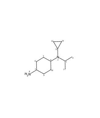 CC(C)N(C1CCC(N)CC1)C1CC1